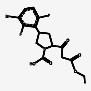 CCOC(=O)CC(=O)C1CC(c2c(F)ccc(Br)c2F)CN1C(=O)O